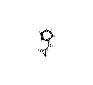 c1cccc(OC2CO2)c#1